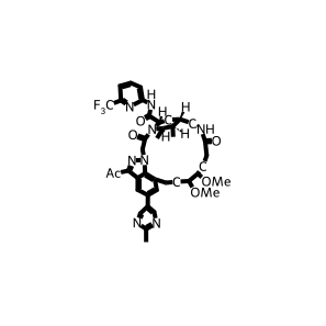 COC1CCC(=O)NC[C@H]2C[C@@H](C(=O)Nc3cccc(C(F)(F)F)n3)N(C(=O)Cn3nc(C(C)=O)c4cc(-c5cnc(C)nc5)cc(c43)CCC1OC)[C@H](C)[C@@H]2C